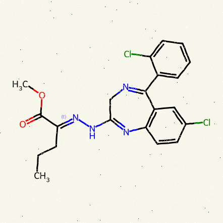 CCC/C(=N\NC1=Nc2ccc(Cl)cc2C(c2ccccc2Cl)=NC1)C(=O)OC